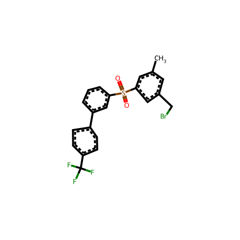 Cc1cc(CBr)cc(S(=O)(=O)c2cccc(-c3ccc(C(F)(F)F)cc3)c2)c1